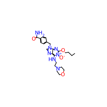 CCCCOc1nc2c(ncn2Cc2ccc(C(N)=O)cc2)c(NCCN2CCOCC2)[n+]1[O-]